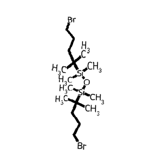 CC(C)(CCCBr)[Si](C)(C)O[Si](C)(C)C(C)(C)CCCBr